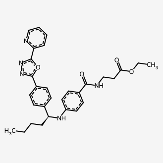 CCCC[C@H](Nc1ccc(C(=O)NCCC(=O)OCC)cc1)c1ccc(-c2nnc(-c3ccccn3)o2)cc1